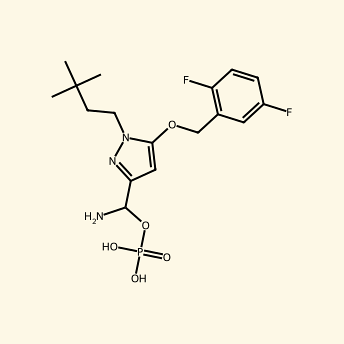 CC(C)(C)CCn1nc(C(N)OP(=O)(O)O)cc1OCc1cc(F)ccc1F